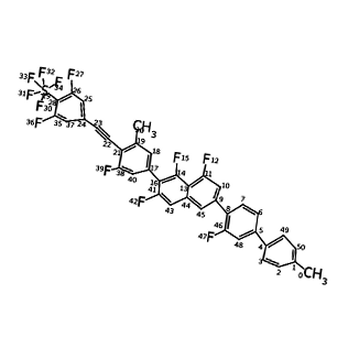 Cc1ccc(-c2ccc(-c3cc(F)c4c(F)c(-c5cc(C)c(C#Cc6cc(F)c(S(F)(F)(F)(F)F)c(F)c6)c(F)c5)c(F)cc4c3)c(F)c2)cc1